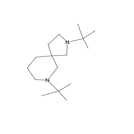 CC(C)(C)N1CCCC2(CCN(C(C)(C)C)C2)C1